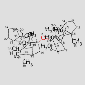 CC1C(OC2CC3CC(C4CC5CCC4(C)C5(C)C)(C2C)C3(C)C)CC2CC1(C1CC3CCC1(C)C3(C)C)C2(C)C